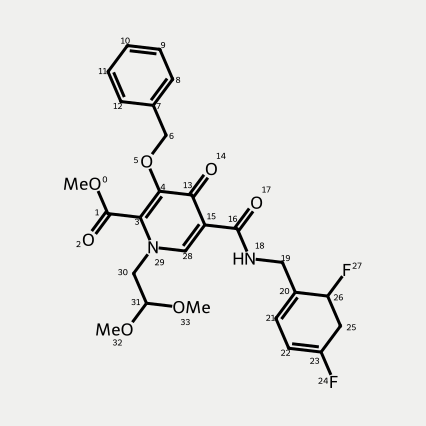 COC(=O)c1c(OCc2ccccc2)c(=O)c(C(=O)NCC2=CC=C(F)CC2F)cn1CC(OC)OC